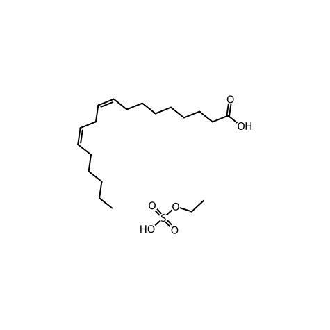 CCCCC/C=C\C/C=C\CCCCCCCC(=O)O.CCOS(=O)(=O)O